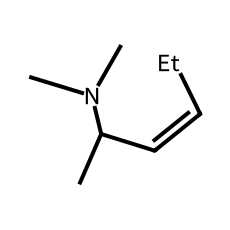 CC/C=C\C(C)N(C)C